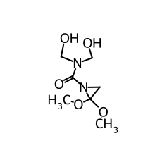 COC1(OC)CN1C(=O)N(CO)CO